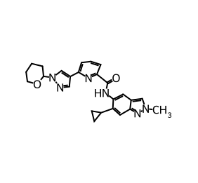 Cn1cc2cc(NC(=O)c3cccc(-c4cnn(C5CCCCO5)c4)n3)c(C3CC3)cc2n1